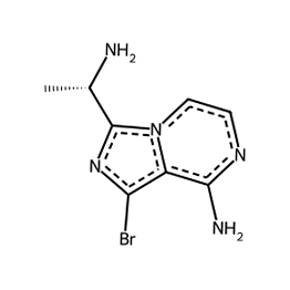 C[C@H](N)c1nc(Br)c2c(N)nccn12